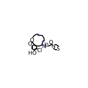 O=C1OCC/C=C/CC/C=C/C(=N\OCC(=O)N2CCSCC2)Cc2c1ccc(O)c2Cl